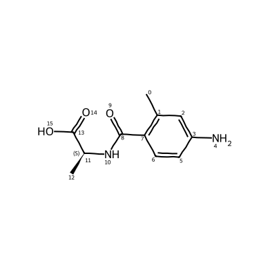 Cc1cc(N)ccc1C(=O)N[C@@H](C)C(=O)O